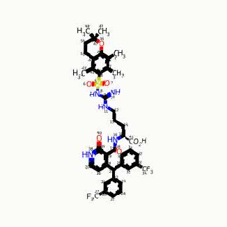 Cc1c(C)c(S(=O)(=O)NC(=N)NCCC[C@H](NC(=O)c2c(C(c3cccc(C(F)(F)F)c3)c3cccc(C(F)(F)F)c3)cc[nH]c2=O)C(=O)O)c(C)c2c1OC(C)(C)CC2